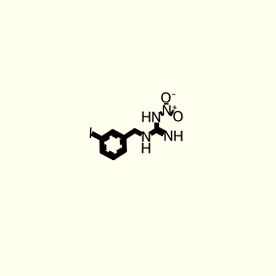 N=C(NCc1cccc(I)c1)N[N+](=O)[O-]